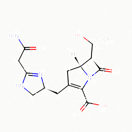 C[C@@H](O)[C@H]1C(=O)N2C(C(=O)O)=C(C[C@H]3CNC(CC(N)=O)=N3)C[C@H]12